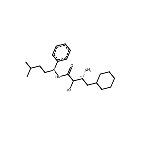 CC(C)CCN(NC(=O)C(O)[C@H](N)CC1CCCCC1)c1ccccc1